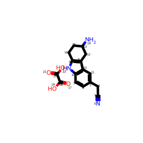 N#CCc1ccc2[nH]c3c(c2c1)CC(N)CC3.O=C(O)C(=O)O